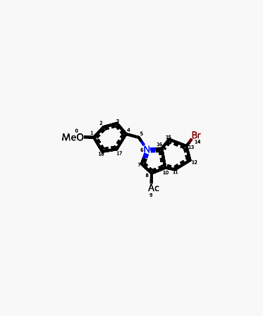 COc1ccc(Cn2cc(C(C)=O)c3ccc(Br)cc32)cc1